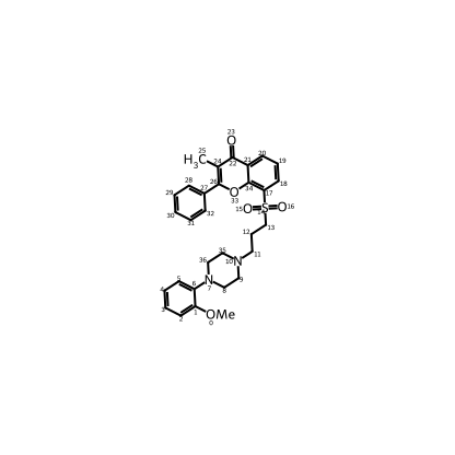 COc1ccccc1N1CCN(CCCS(=O)(=O)c2cccc3c(=O)c(C)c(-c4ccccc4)oc23)CC1